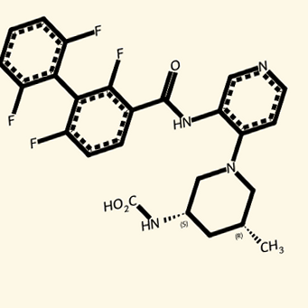 C[C@@H]1C[C@H](NC(=O)O)CN(c2ccncc2NC(=O)c2ccc(F)c(-c3c(F)cccc3F)c2F)C1